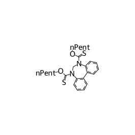 CCCCCOC(=S)N1CN(C(=S)OCCCCC)c2ccccc2-c2ccccc21